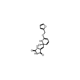 O=C1NC(=O)/C(=C/C2(Cl)C=CC=C(OCc3ccco3)N2)N1